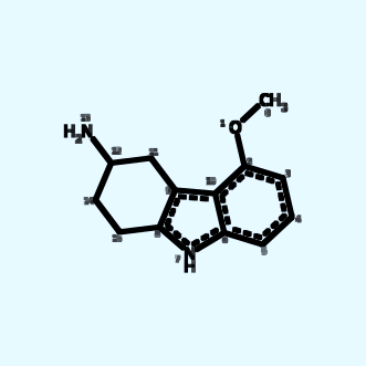 COc1cccc2[nH]c3c(c12)CC(N)CC3